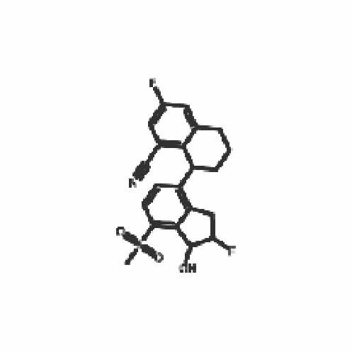 CS(=O)(=O)c1ccc(C2CCCc3cc(F)cc(C#N)c32)c2c1C(O)C(F)C2